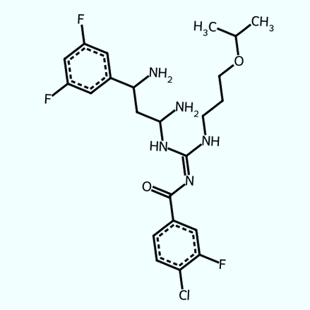 CC(C)OCCCN/C(=N/C(=O)c1ccc(Cl)c(F)c1)NC(N)CC(N)c1cc(F)cc(F)c1